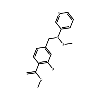 C=C(OC)c1ccc(CN(SC)c2cccnc2)cc1F